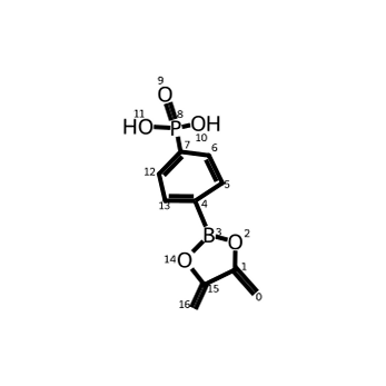 C=C1OB(c2ccc(P(=O)(O)O)cc2)OC1=C